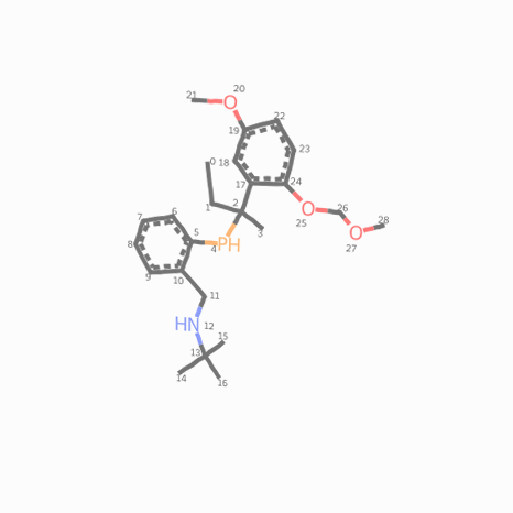 CCC(C)(Pc1ccccc1CNC(C)(C)C)c1cc(OC)ccc1OCOC